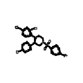 CC(C)c1ccc(S(=O)(=O)N2CCN(c3ccc(Cl)cc3Cl)C(c3ccc(Cl)cc3)C2)cc1